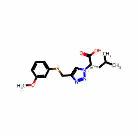 COc1cccc(SCc2cn([C@@H](CC(C)C)C(=O)O)nn2)c1